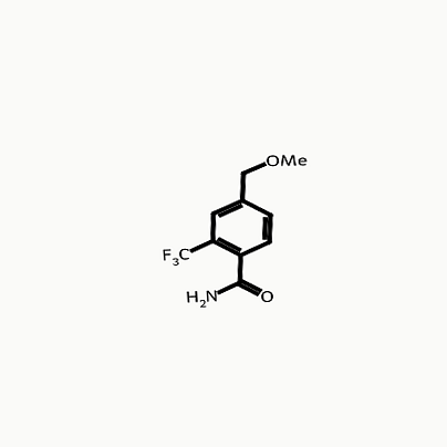 COCc1ccc(C(N)=O)c(C(F)(F)F)c1